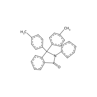 Cc1ccc(C2(c3ccc(C)cc3)c3ccccc3C(=O)N2c2ccccc2)cc1